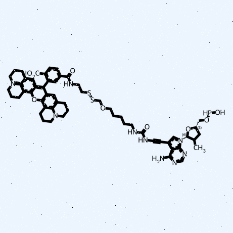 CC1C[C@@H](COPO)O[C@H]1n1cc(C#CNC(=O)NCCCCCOCSSCCNC(=O)c2ccc(C(=O)O)c(C3=c4cc5c6c(c4Oc4c3cc3c7c4CCCN7CCC3)CCC[N+]=6CCC5)c2)c2c(N)ncnc21